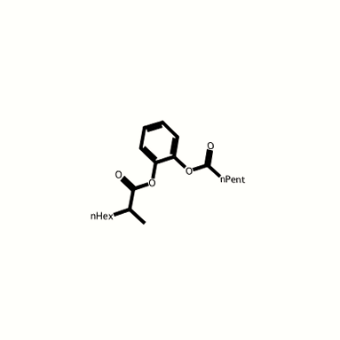 CCCCCCC(C)C(=O)Oc1ccccc1OC(=O)CCCCC